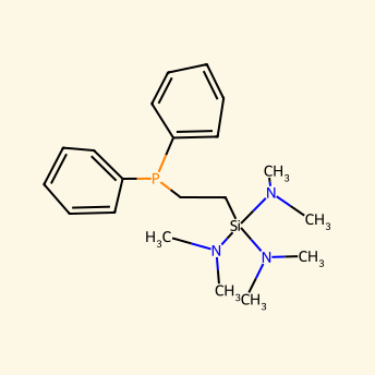 CN(C)[Si](CCP(c1ccccc1)c1ccccc1)(N(C)C)N(C)C